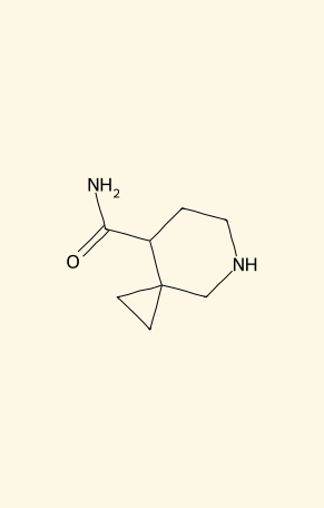 NC(=O)C1CCNCC12CC2